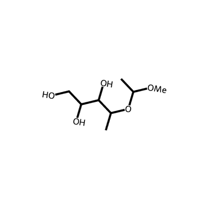 COC(C)OC(C)C(O)C(O)CO